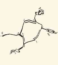 [CH2]c1cc(C(C)(C)C)c(C(C)(C)C)cc1OC